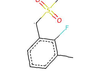 Cc1cccc([CH]S(C)(=O)=O)c1F